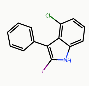 Clc1cccc2[nH]c(I)c(-c3ccccc3)c12